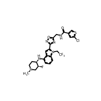 CN1CC[C@@H](Nc2cccc3c2cc(-c2noc(CNC(=O)c4csc(Cl)c4)n2)n3CC(F)(F)F)[C@@H](F)C1